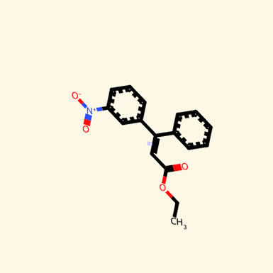 CCOC(=O)/C=C(\c1ccccc1)c1cccc([N+](=O)[O-])c1